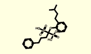 CC(C)CCc1ccccc1OC(CCCc1ccccc1)(P(=O)(O)O)S(=O)(=O)O